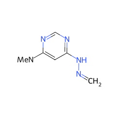 C=NNc1cc(NC)ncn1